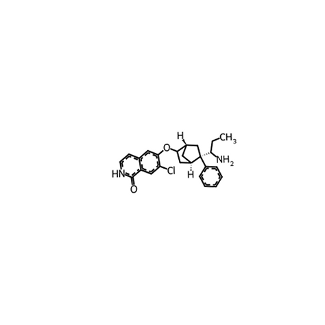 CCC(N)[C@@]1(c2ccccc2)C[C@@H]2C[C@@H]1CC2Oc1cc2cc[nH]c(=O)c2cc1Cl